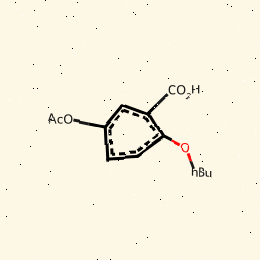 CCCCOc1ccc(OC(C)=O)cc1C(=O)O